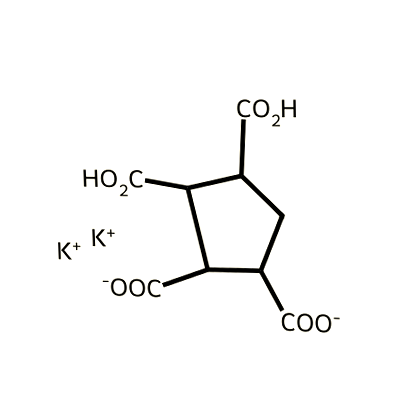 O=C([O-])C1CC(C(=O)O)C(C(=O)O)C1C(=O)[O-].[K+].[K+]